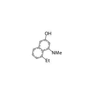 CCc1cccc2cc(O)cc(NC)c12